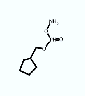 NO[PH](=O)OCC1CCCC1